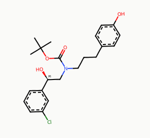 CC(C)(C)OC(=O)N(CCCc1ccc(O)cc1)C[C@H](O)c1cccc(Cl)c1